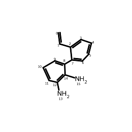 C=Cc1ccccc1-c1cccc(N)c1N